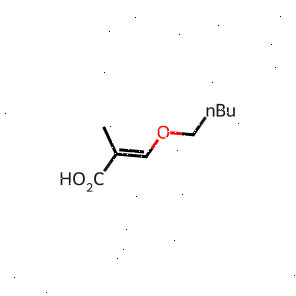 CCCCCO/C=C(\C)C(=O)O